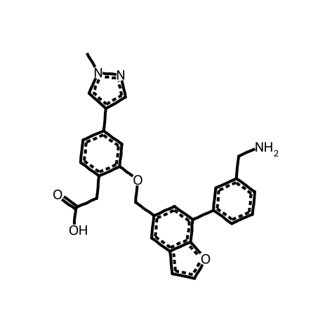 Cn1cc(-c2ccc(CC(=O)O)c(OCc3cc(-c4cccc(CN)c4)c4occc4c3)c2)cn1